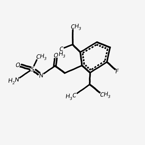 CC(C)c1ccc(F)c(C(C)C)c1CC(=O)N=S(C)(N)=O